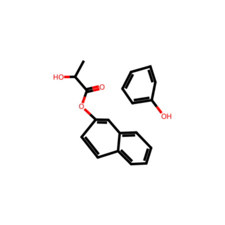 CC(O)C(=O)Oc1ccc2ccccc2c1.Oc1ccccc1